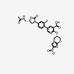 CC(=O)NC[C@H]1CN(c2ccc(-c3cnc(O[C@@H]4COc5nc([N+](=O)[O-])cn5C4)c(C(=O)O)c3)c(F)c2)C(=O)O1